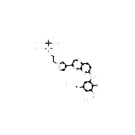 COc1cc(Nc2ccc3ncc(-c4cnn(CCO[Si](C)(C)C(C)(C)C)c4)nc3n2)c(F)c(OC)c1